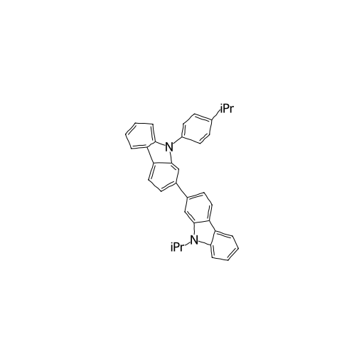 CC(C)c1ccc(-n2c3ccccc3c3ccc(-c4ccc5c6ccccc6n(C(C)C)c5c4)cc32)cc1